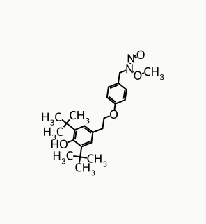 CON(Cc1ccc(OCCc2cc(C(C)(C)C)c(O)c(C(C)(C)C)c2)cc1)N=O